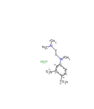 CN(C)CCN(C)c1ccc(C(=O)O)c([N+](=O)[O-])c1.Cl